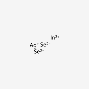 [Ag+].[In+3].[Se-2].[Se-2]